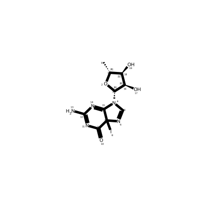 C[C@H]1O[C@@H](N2C=NC3(I)C(=O)N=C(N)N=C23)[C@H](O)[C@@H]1O